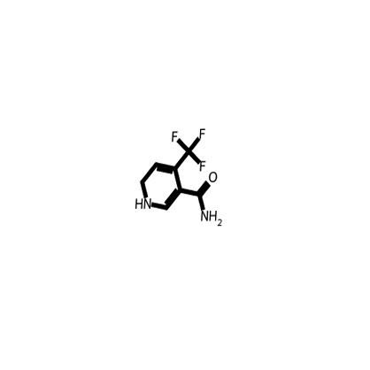 NC(=O)C1=CNCC=C1C(F)(F)F